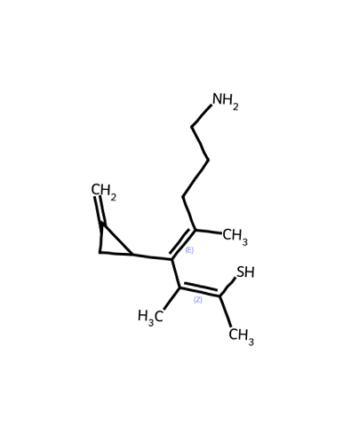 C=C1CC1C(/C(C)=C(/C)S)=C(/C)CCCN